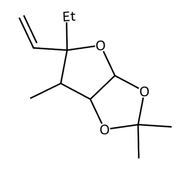 C=CC1(CC)OC2OC(C)(C)OC2C1C